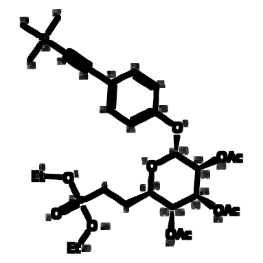 CCOP(=O)(CC[C@H]1O[C@H](Oc2ccc(C#C[Si](C)(C)C)cc2)[C@@H](OC(C)=O)[C@@H](OC(C)=O)[C@@H]1OC(C)=O)OCC